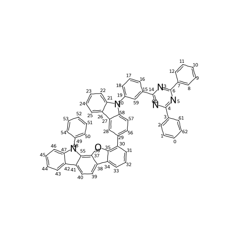 c1ccc(-c2nc(-c3ccccc3)nc(-c3cccc(-n4c5ccccc5c5cc(-c6cccc7c6oc6c7ccc7c8ccccc8n(-c8ccccc8)c76)ccc54)c3)n2)cc1